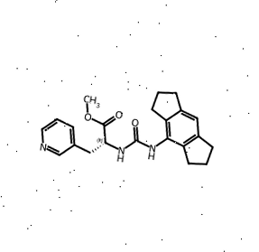 COC(=O)[C@@H](Cc1cccnc1)NC(=O)Nc1c2c(cc3c1CCC3)CCC2